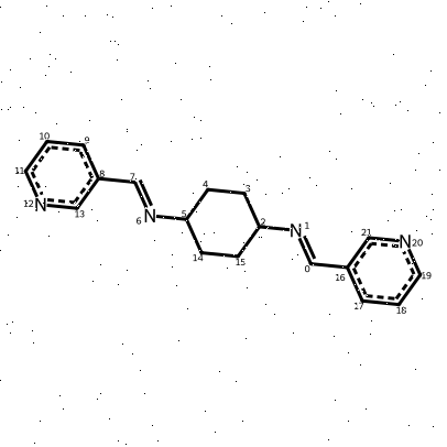 C(=NC1CCC(N=Cc2cccnc2)CC1)c1cccnc1